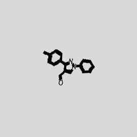 Cc1ccc(-c2nn(-c3ccccc3)cc2C=O)cc1